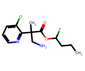 CCCC(F)OC(=O)C(C)(CN)c1ncccc1Cl